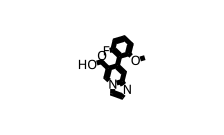 COc1cccc(F)c1-c1cc2nccn2cc1C(=O)O